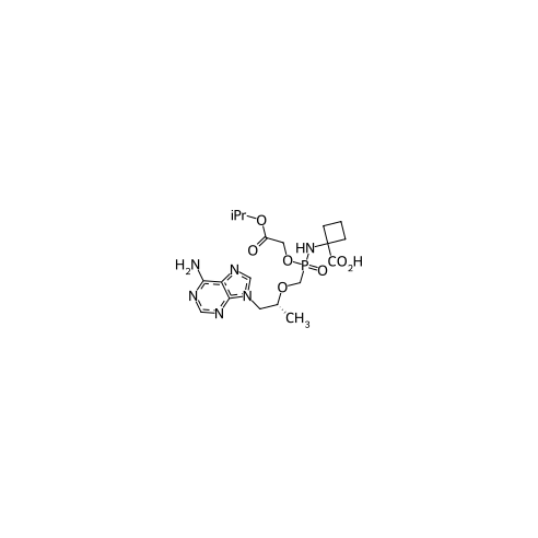 CC(C)OC(=O)COP(=O)(CO[C@H](C)Cn1cnc2c(N)ncnc21)NC1(C(=O)O)CCC1